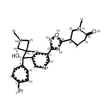 CC(C)c1ccc([C@](O)(c2cncc(-c3noc(C4CCC(=O)N(C)C4)n3)c2)C2(C)CN(C)C2)cc1